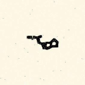 CC(=CC1CC2CC1C1CCCC21)C(=O)O